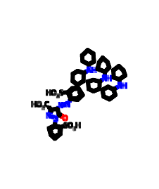 C1CCC(NC2CCCCC2)CC1.C1CCC(NC2CCCCC2)CC1.C1CCC(NC2CCCCC2)CC1.O=C(O)C1=NN(c2ccccc2S(=O)(=O)O)C(=O)C1N=Nc1ccccc1S(=O)(=O)O